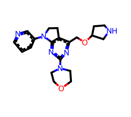 c1cncc(N2CCc3c(COC4CCNC4)nc(N4CCOCC4)nc32)c1